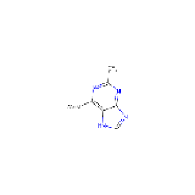 CNc1nc(C(F)(F)F)nc2nc[nH]c12